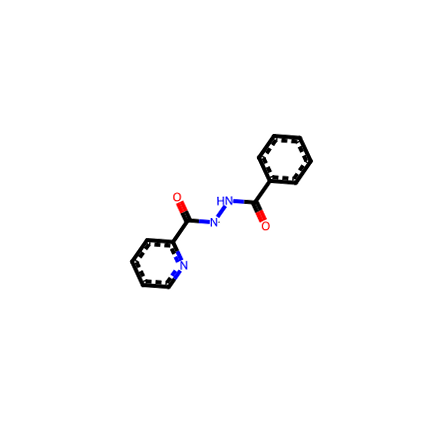 O=C(N[N]C(=O)c1ccccn1)c1ccccc1